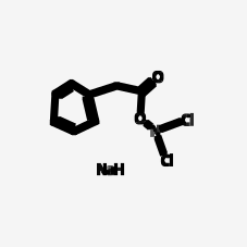 O=C(Cc1ccccc1)ON(Cl)Cl.[NaH]